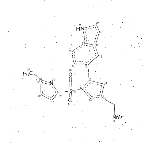 CNCc1cc(-c2ccc3[nH]ccc3c2)n(S(=O)(=O)c2ccn(C)n2)c1